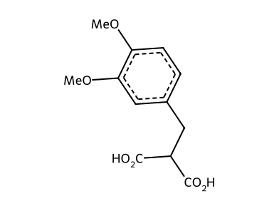 COc1ccc(CC(C(=O)O)C(=O)O)cc1OC